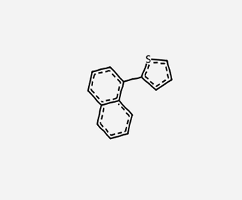 c1csc(-c2cccc3ccccc23)c1